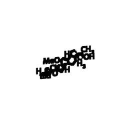 CO[C@H](/C=C1\CCC[C@]2(C)[C@@H]([C@H](C)CO)CC[C@@H]12)[C@@]12CC(O[Si](C)(C)C(C)(C)C)C[C@@H]1C2